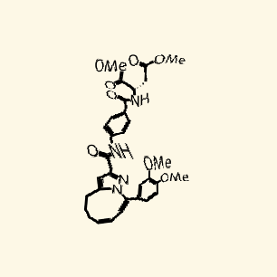 COC(=O)C[C@H](NC(=O)c1ccc(NC(=O)c2cc3n(n2)/C(c2ccc(OC)c(OC)c2)=C\C=C/CCC3)cc1)C(=O)OC